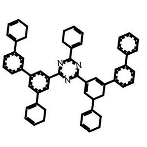 C1=CCCC(c2cccc(-c3cc(C4=CC=CCC4)cc(-c4nc(C5=CC(C6=CC=CCC6)CC(c6cccc(-c7ccccc7)c6)=C5)nc(C5=CC=CCC5)n4)c3)c2)=C1